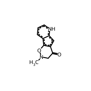 CN1CC(=O)c2cc3[nH]cccc-3c2O1